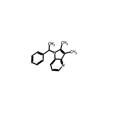 Cc1c(C)n(C(C)c2ccccc2)c2cccnc12